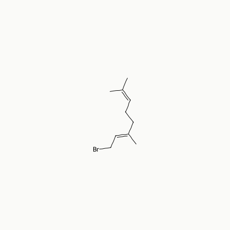 CC(C)=CCCC(C)=CCBr